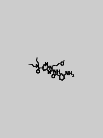 CCCN(CCC)C(=O)c1cnc2c(c1)nc(NC(=O)c1cccc(N)c1)n2CCCOC